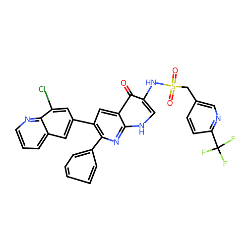 O=c1c(NS(=O)(=O)Cc2ccc(C(F)(F)F)nc2)c[nH]c2nc(-c3ccccc3)c(-c3cc(Cl)c4ncccc4c3)cc12